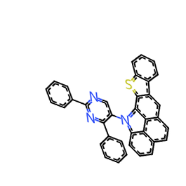 c1ccc(-c2ncc(-n3c4cccc5ccc6cc7c8ccccc8sc7c3c6c54)c(-c3ccccc3)n2)cc1